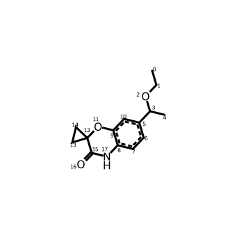 CCOC(C)c1ccc2c(c1)OC1(CC1)C(=O)N2